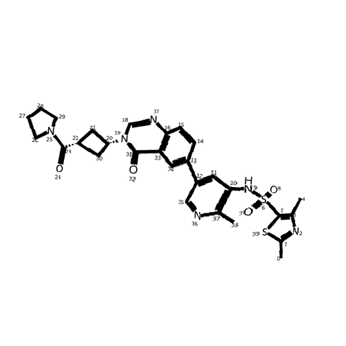 Cc1nc(C)c(S(=O)(=O)Nc2cc(-c3ccc4ncn([C@H]5C[C@@H](C(=O)N6CCCC6)C5)c(=O)c4c3)cnc2C)s1